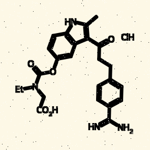 CCN(CC(=O)O)C(=O)Oc1ccc2[nH]c(C)c(C(=O)CCc3ccc(C(=N)N)cc3)c2c1.Cl